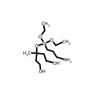 CCO[Si](CCCN)(OCC)OC(C)(CCO)CCO